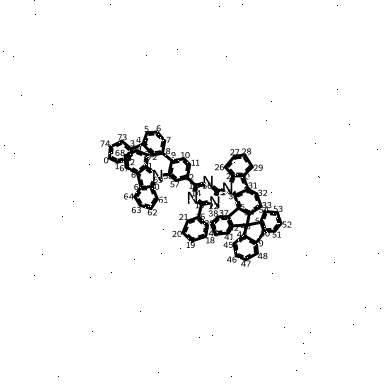 c1ccc(-c2cccc(-c3ccc(-c4nc(-c5ccccc5)nc(-n5c6ccccc6c6ccc7c(c65)-c5ccccc5C75c6ccccc6-c6ccccc65)n4)cc3-n3c4ccccc4c4ccccc43)c2)cc1